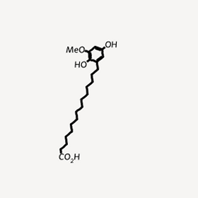 COc1cc(O)cc(CCCCCCCCCCCCCCC(=O)O)c1O